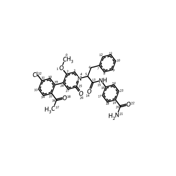 COc1cn(C(Cc2ccccc2)C(=O)Nc2ccc(C(N)=O)cc2)c(=O)cc1-c1cc(Cl)ccc1C(C)=O